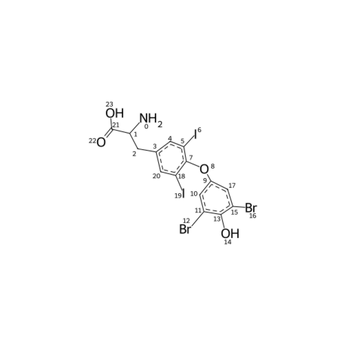 NC(Cc1cc(I)c(Oc2cc(Br)c(O)c(Br)c2)c(I)c1)C(=O)O